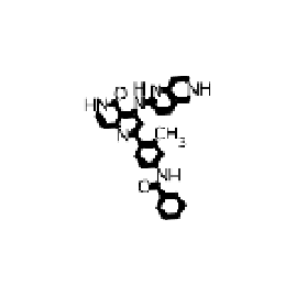 Cc1cc(NC(=O)C2CCCCC2)ccc1-c1cc(Nc2ccc3c(n2)CCNC3)c2c(=O)[nH]ccc2n1